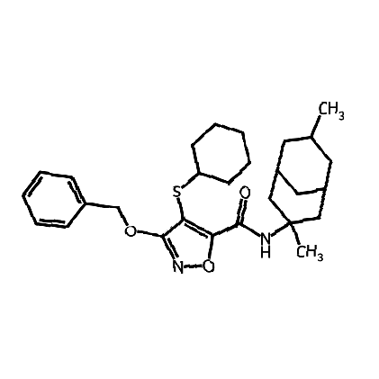 CC1CC2CC(C1)CC(C)(NC(=O)c1onc(OCc3ccccc3)c1SC1CCCCC1)C2